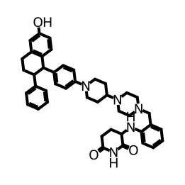 O=C1CCC(Nc2ccccc2CN2CCN(C3CCN(c4ccc(C5c6ccc(O)cc6CCC5c5ccccc5)cc4)CC3)CC2)C(=O)N1